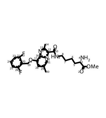 COC(=O)[C@@H](N)CCCCNC(=O)c1c(C)nc2c(OCc3c(F)cccc3F)cc(C)cn12